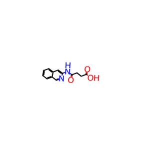 O=C(O)CCC(=O)Nc1cc2ccccc2cn1